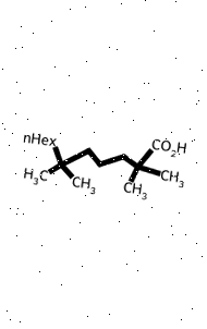 CCCCCCC(C)(C)CCCC(C)(C)C(=O)O